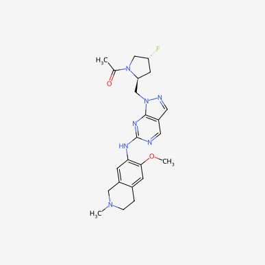 COc1cc2c(cc1Nc1ncc3cnn(C[C@@H]4C[C@@H](F)CN4C(C)=O)c3n1)CN(C)CC2